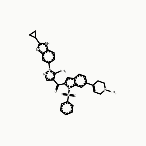 CN1CC=C(c2ccc3cc(C(=O)c4cnn(-c5ccc6[nH]c(C7CC7)nc6c5)c4N)n(S(=O)(=O)c4ccccc4)c3c2)CC1